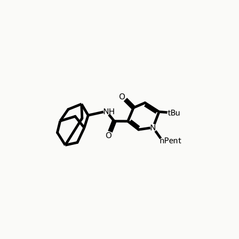 CCCCCn1cc(C(=O)NC2C3CC4CC(C3)CC2C4)c(=O)cc1C(C)(C)C